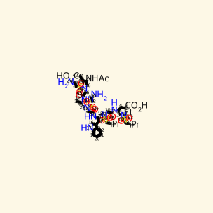 CCN(C[C@H](CCC(=O)O)NC(=O)CN(C[C@H](Cc1c[nH]c2ccccc12)NC(=O)CN(C[C@H](CC(C)C)NC(=O)CN(C[C@H](CCC(=O)O)NC(C)=O)S(=O)(=O)CCN)S(=O)(=O)CCN)S(=O)(=O)CC(C)C)S(=O)(=O)CC(C)C